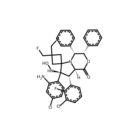 Nc1cc(Cl)ccc1[C@@]1(NO)[C@@H](c2cccc(Cl)c2F)[C@@H]2C(=O)O[C@@H](c3ccccc3)[C@@H](c3ccccc3)N2C12CC(CF)(CF)C2